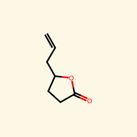 C=CCC1CCC(=O)O1